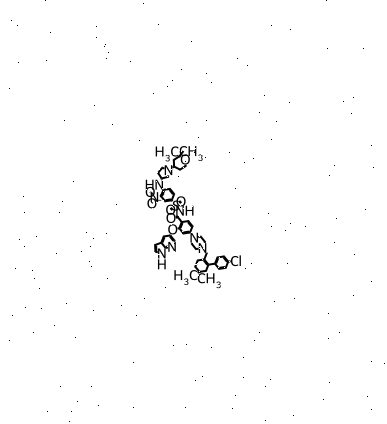 CC1(C)CCC(CN2CCN(c3ccc(C(=O)NS(=O)(=O)c4ccc(NC5CCN(C6CCOC(C)(C)C6)C5)c([N+](=O)[O-])c4)c(Oc4cnc5[nH]ccc5c4)c3)CC2)=C(c2ccc(Cl)cc2)C1